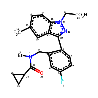 CCN(Cc1cc(F)ccc1-c1nn(CC(=O)O)c2ccc(C(F)(F)F)cc12)C(=O)C1CC1